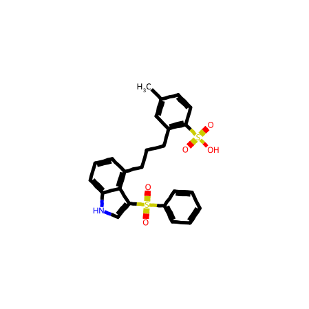 Cc1ccc(S(=O)(=O)O)c(CCCc2cccc3[nH]cc(S(=O)(=O)c4ccccc4)c23)c1